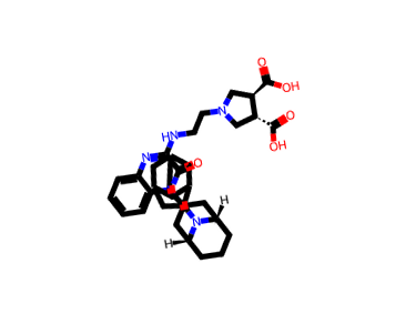 O=C(O)[C@@H]1CN(CCNc2nc3ccccc3n([C@H]3C[C@H]4CCC[C@@H](C3)N4C34CC5CC(CC3C5)C4)c2=O)C[C@H]1C(=O)O